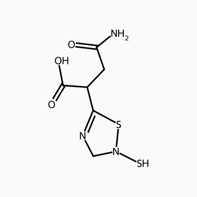 NC(=O)CC(C(=O)O)C1=NCN(S)S1